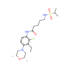 CCc1c(N2C[C@@H](C)O[C@@H](C)C2)ccc(NC(=O)CCCCNS(=O)(=O)C(C)C)c1F